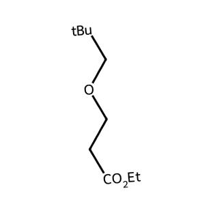 CCOC(=O)CCOCC(C)(C)C